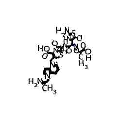 C[C@H](N)Cn1ccc2c1ccc[n+]2CC1=C(C(=O)O)N2C(=O)[C@@H](NC(=O)/C(=N\O[C@@H](C)C(=O)O)c3nc(N)sc3Cl)[C@H]2SC1